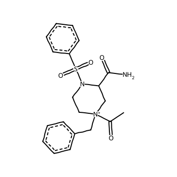 CC(=O)[N+]1(Cc2ccccc2)CCN(S(=O)(=O)c2ccccc2)C(C(N)=O)C1